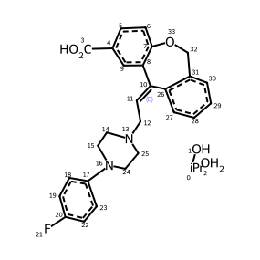 CC(C)O.O.O=C(O)c1ccc2c(c1)/C(=C/CN1CCN(c3ccc(F)cc3)CC1)c1ccccc1CO2